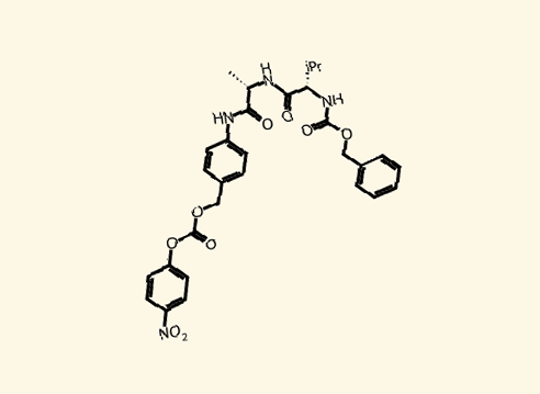 CC(C)[C@H](NC(=O)OCc1ccccc1)C(=O)N[C@@H](C)C(=O)Nc1ccc(COC(=O)Oc2ccc([N+](=O)[O-])cc2)cc1